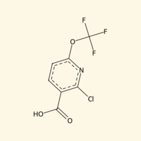 O=C(O)c1ccc(OC(F)(F)F)nc1Cl